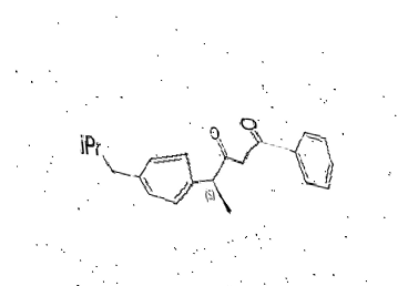 CC(C)Cc1ccc([C@H](C)C(=O)CC(=O)c2ccccc2)cc1